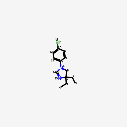 CCC1(CC)CN(c2ccc(Br)cc2)C=N1